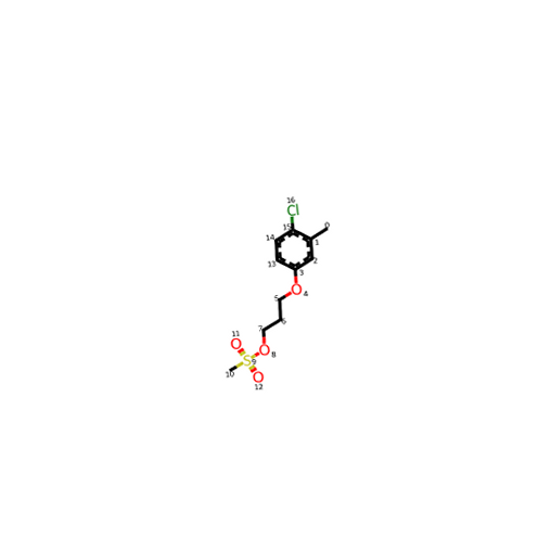 Cc1cc(OCCCOS(C)(=O)=O)ccc1Cl